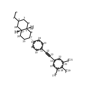 CCC1CC[C@@H]2C[C@H](c3ccc(C#Cc4cc(F)c(F)c(F)c4)cc3)CC[C@@H]2C1